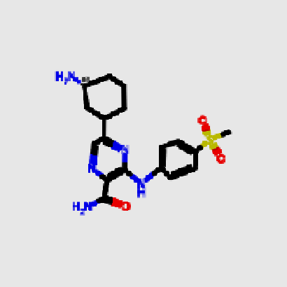 CS(=O)(=O)c1ccc(Nc2nc(C3CCC[C@@H](N)C3)cnc2C(N)=O)cc1